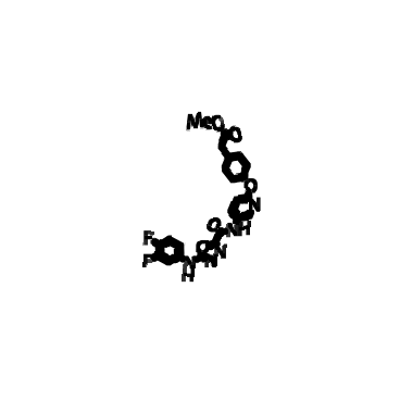 COC(=O)CC1CCC(Oc2ccc(NC(=O)c3nnc(Nc4ccc(F)c(F)c4)o3)cn2)CC1